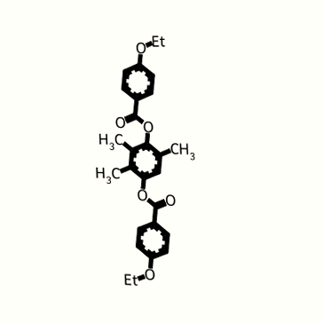 CCOc1ccc(C(=O)Oc2cc(C)c(OC(=O)c3ccc(OCC)cc3)c(C)c2C)cc1